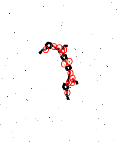 C#CCOc1cccc(OCC(COc2ccc(S(=O)(=O)c3ccc(OCC(COc4cccc(OCC#C)c4)OC(=O)C=C)cc3)cc2)OC(=O)C=C)c1